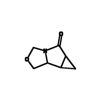 O=C1C2CC2C2COCN12